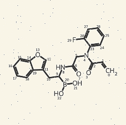 C=CC(=O)N(CC(=O)NC(Cc1coc2ccccc12)B(O)O)c1ccccc1F